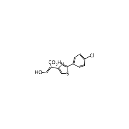 O=C(O)C(=CO)c1csc(-c2ccc(Cl)cc2)n1